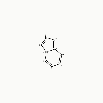 [c]1cccn2cncc12